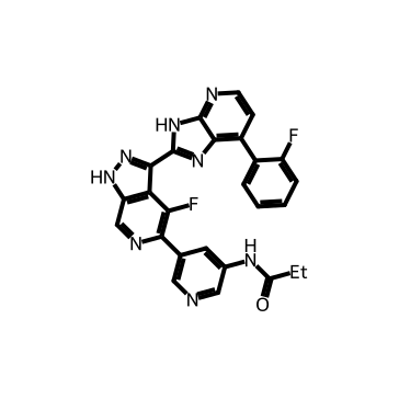 CCC(=O)Nc1cncc(-c2ncc3[nH]nc(-c4nc5c(-c6ccccc6F)ccnc5[nH]4)c3c2F)c1